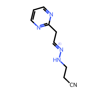 N#CCCN/N=C/Cc1ncccn1